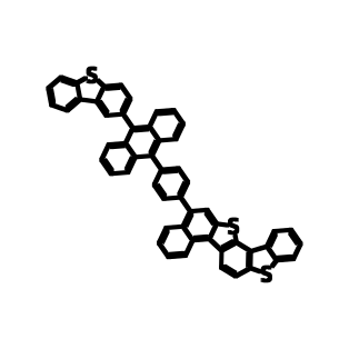 c1ccc2c(c1)sc1ccc(-c3c4ccccc4c(-c4ccc(-c5cc6sc7c(ccc8sc9ccccc9c87)c6c6ccccc56)cc4)c4ccccc34)cc12